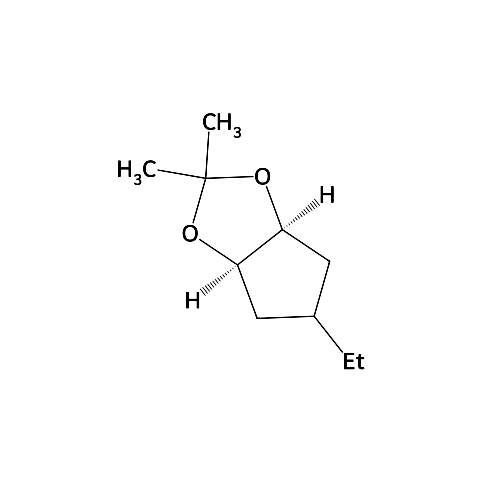 CCC1C[C@@H]2OC(C)(C)O[C@@H]2C1